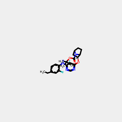 CCc1ccc(Nc2ncnc(O[C@H]3CC4CCC3N4C(=O)OC(C)(C)C)c2F)c(F)c1